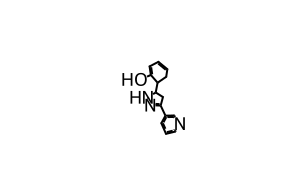 OC1=CC=CCC1C1CC(c2cccnc2)=NN1